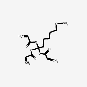 C=CC(=O)OC(CCCCCO[SiH3])(OC(=O)C=C)OC(=O)C=C